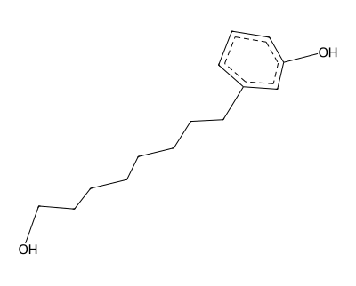 OCCCCCCCCc1cccc(O)c1